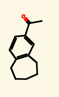 CC(=O)c1ccc2c(c1)CCCCC2